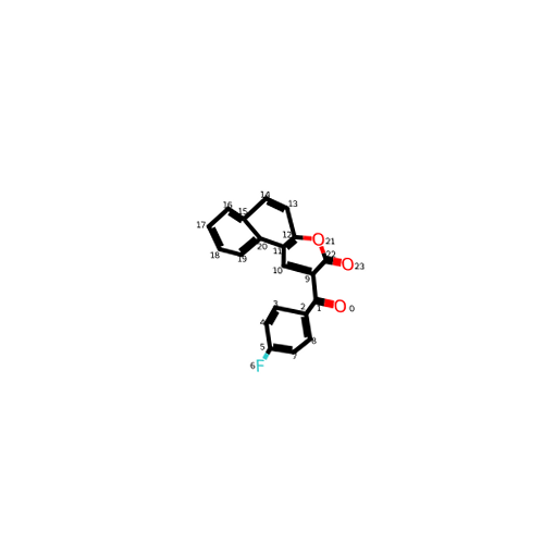 O=C(c1ccc(F)cc1)c1cc2c(ccc3ccccc32)oc1=O